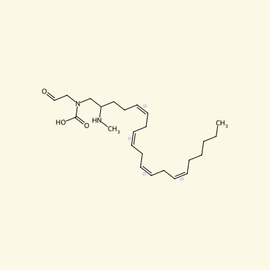 CCCCC/C=C\C/C=C\C/C=C\C/C=C\CCC(CN(CC=O)C(=O)O)NC